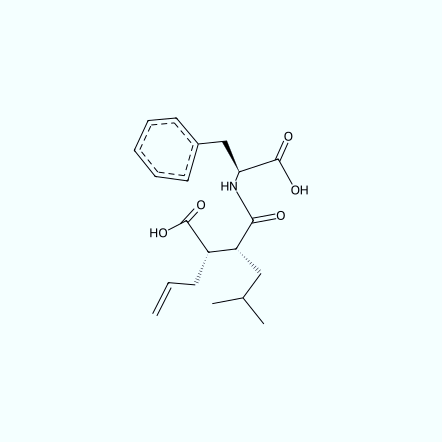 C=CC[C@H](C(=O)O)[C@@H](CC(C)C)C(=O)N[C@@H](Cc1ccccc1)C(=O)O